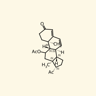 CC(=O)OC1C[C@]2(C)[C@@H](C(C)=O)CC[C@H]2[C@@H]2C=CC3=CC(=O)CC[C@]3(C)[C@@H]12